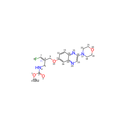 CC(C)(C)OC(=O)NC/C(=C\F)COc1ccc2nc(N3CCOCC3)cnc2c1